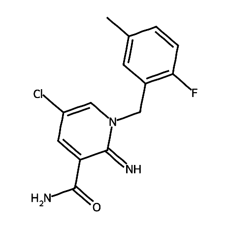 Cc1ccc(F)c(Cn2cc(Cl)cc(C(N)=O)c2=N)c1